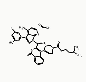 CC(c1oc(=O)c2ccccc2c1C1=CCN(C(=O)CCCN(C)C)CC1)n1nc(-c2cc(O)cc(F)c2)c2c(N)ncnc21.O=CO